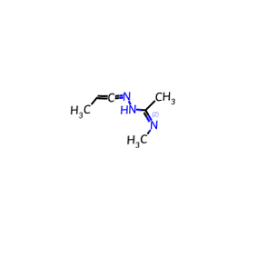 CC=C=NN/C(C)=N\C